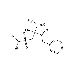 CCCC(CCC)S(=O)(=O)CC(N)(C(N)=O)C(=O)Cc1ccccc1